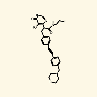 O=C(NCCF)C(Cc1ccc(C#Cc2ccc(CN3CCOCC3)cc2)cc1)c1nc[nH]c(=O)c1O